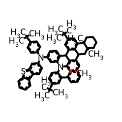 Cc1cc2c3c(c1)N(c1ccc(C(C)(C)C)cc1-c1ccccc1)c1cc(N(c4ccc(C(C)(C)C)cc4)c4ccc5c(c4)sc4ccccc45)ccc1C3c1cc(C(C)(C)C)cc3c1C2CC1(C)CCCCC31C